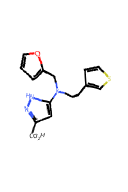 O=C(O)c1cc(N(Cc2ccsc2)Cc2ccco2)[nH]n1